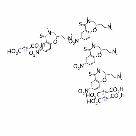 CN(C)CCC1CN(C)C(=S)c2cc([N+](=O)[O-])ccc2O1.CN(C)CCC1CN(C)C(=S)c2cc([N+](=O)[O-])ccc2O1.CN(C)CCC1CN(C)C(=S)c2cc([N+](=O)[O-])ccc2O1.CN(C)CCC1CN(C)C(=S)c2cc([N+](=O)[O-])ccc2O1.O=C(O)/C=C/C(=O)O.O=C(O)/C=C/C(=O)O.O=C(O)/C=C/C(=O)O